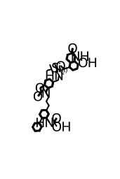 CC(C)(C)[Si](C)(C)O[C@@H](CNCc1ccc2oc(=O)n(CCCc3ccc(-c4ccccc4)c(NC(=O)O)c3)c2c1)c1ccc(O)c2[nH]c(=O)ccc12